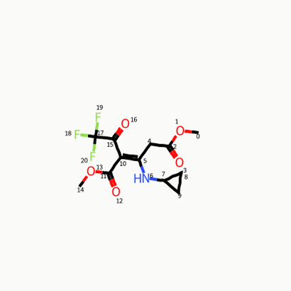 COC(=O)C/C(NC1CC1)=C(/C(=O)OC)C(=O)C(F)(F)F